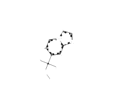 COC(C)(C)c1ccn2ccnc2c1